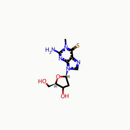 Cn1c(N)nc2c(ncn2[C@H]2CC(O)[C@@H](CO)O2)c1=S